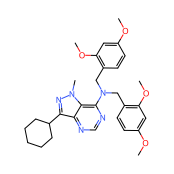 COc1ccc(CN(Cc2ccc(OC)cc2OC)c2ncnc3c(C4CCCCC4)nn(C)c23)c(OC)c1